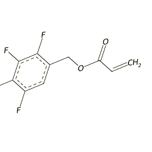 C=CC(=O)OCc1cc(F)c(F)c(F)c1F